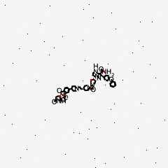 NC(=O)c1c(-c2ccc(Oc3ccccc3)cc2)nn2c1NCC[C@H]2C1CCN(C(=O)N2CCC(CCN3CCC(c4ccc5c(c4)C(=O)N(C4CCC(=O)NC4=O)C5=O)CC3)CC2)CC1